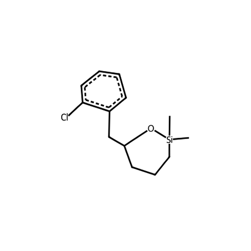 C[Si]1(C)CCCC(Cc2ccccc2Cl)O1